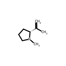 C=C(C)[C@H]1CCCN1C